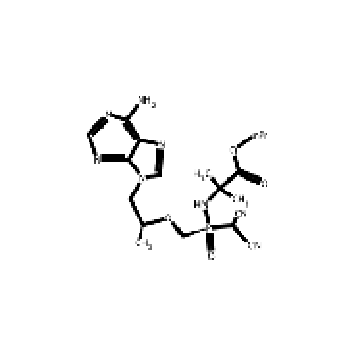 CCCOC(=O)C(C)(C)N[P@](=O)(CO[C@@H](C)Cn1cnc2c(N)ncnc21)C(C#N)C#N